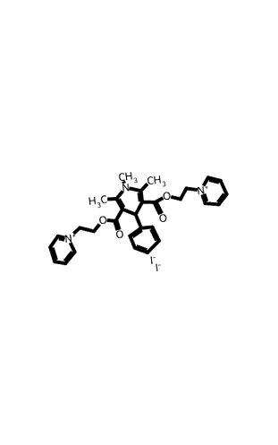 CC1=C(C(=O)OCC[n+]2ccccc2)C(c2ccccc2)C(C(=O)OCC[n+]2ccccc2)=C(C)N1C.[I-].[I-]